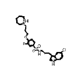 O=S(=O)(NCCCc1c[nH]c2ccc(Cl)cc12)c1ccc(OCCCN2CCCCCN2)c(F)c1